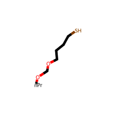 CCCOCOCCCCS